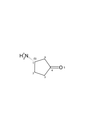 N[C@H]1CCC(=O)C1